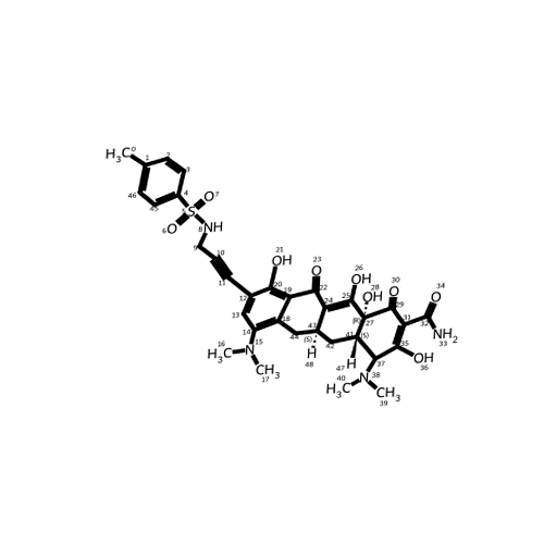 Cc1ccc(S(=O)(=O)NCC#Cc2cc(N(C)C)c3c(c2O)C(=O)C2=C(O)[C@@]4(O)C(=O)C(C(N)=O)=C(O)C(N(C)C)[C@@H]4C[C@H]2C3)cc1